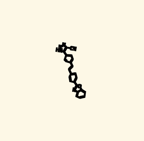 N#Cc1nn[nH]c1-c1ccc(C=Cc2ccc(-c3nc4ccccc4o3)cc2)cc1